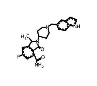 CC1c2cc(F)cc(C(N)=O)c2C(=O)N1C1CCN(Cc2ccc3[nH]ccc3c2)CC1